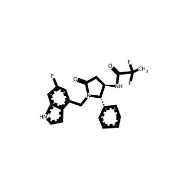 CC(F)(F)C(=O)N[C@@H]1CC(=O)N(Cc2cc(F)cc3[nH]ccc23)[C@H]1c1ccccc1